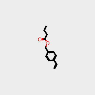 C=Cc1ccc(COC(=O)CCC)cc1